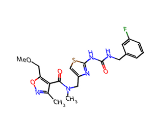 COCc1onc(C)c1C(=O)N(C)Cc1csc(NC(=O)NCc2cccc(F)c2)n1